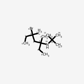 CCC(C)(Br)CC(C)(CC)NC(C)(C)C